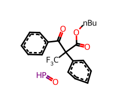 CCCCOC(=O)C(C(=O)c1ccccc1)(c1ccccc1)C(F)(F)F.O=P